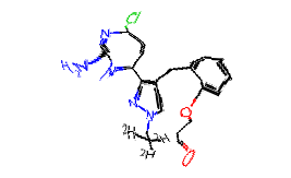 [2H]C([2H])([2H])n1cc(Cc2ccccc2OCC=O)c(-c2cc(Cl)nc(N)n2)n1